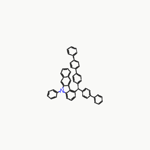 c1ccc(-c2ccc(-c3ccc(C(c4ccc(-c5ccccc5)cc4)c4cccc5c4c4cc6ccccc6cc4n5-c4ccccc4)cc3)cc2)cc1